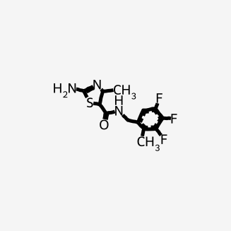 Cc1c(CNC(=O)C2SC(N)=NC2C)cc(F)c(F)c1F